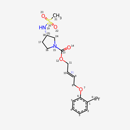 CC(C)c1ccccc1OC/C=C/COC(=O)N1CC[C@H](NS(C)(=O)=O)C1